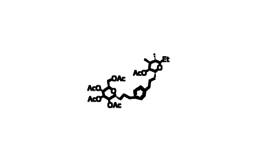 CC[C@H]1O[C@H](CCCc2ccc(CCC[C@H]3O[C@H](COC(C)=O)[C@@H](OC(C)=O)[C@H](OC(C)=O)[C@@H]3OC(C)=O)cc2)[C@@H](OC(C)=O)[C@@H](C)[C@@H]1C